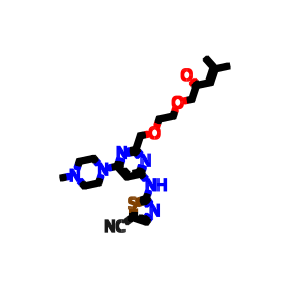 CC(C)=CC(=O)COCCOCc1nc(Nc2ncc(C#N)s2)cc(N2CCN(C)CC2)n1